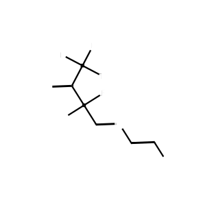 OCCOCC(F)(F)C(F)C(F)(F)F